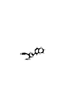 CNc1oc(-c2ccc3c(c2)OCCO3)nc1C#N